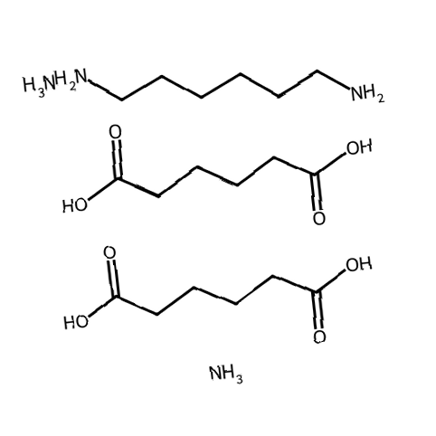 N.N.NCCCCCCN.O=C(O)CCCCC(=O)O.O=C(O)CCCCC(=O)O